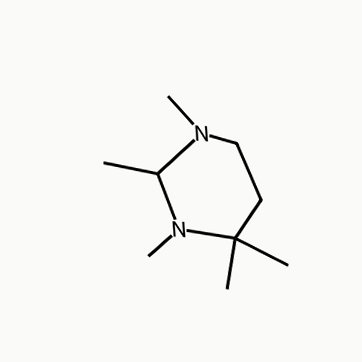 CC1N(C)CCC(C)(C)N1C